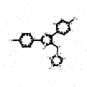 Fc1ccc(-c2nc(-c3ccc(F)cc3)c(Cn3cnnn3)s2)cc1